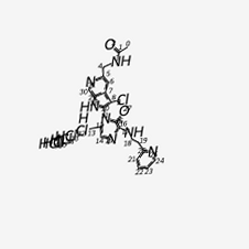 CC(=O)NCc1cc2c(Cl)c(-n3c(C)cnc(NCCc4ccccn4)c3=O)[nH]c2cn1.Cl.Cl.Cl.Cl.Cl